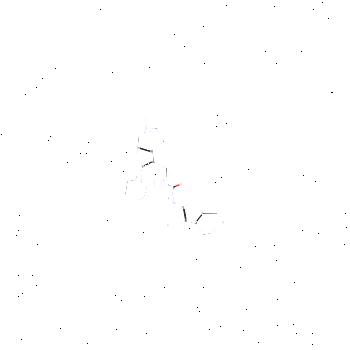 CC(=O)c1c(NC(=O)NCc2c(N3CCOCC3)sc3c2CCNC3)sc2c1CCCC2